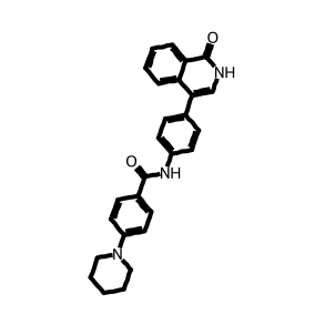 O=C(Nc1ccc(-c2c[nH]c(=O)c3ccccc23)cc1)c1ccc(N2CCCCC2)cc1